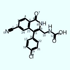 N#Cc1ccc2c(=O)[nH]c(CNC(=O)O)c(-c3ccc(Cl)cc3)c2c1